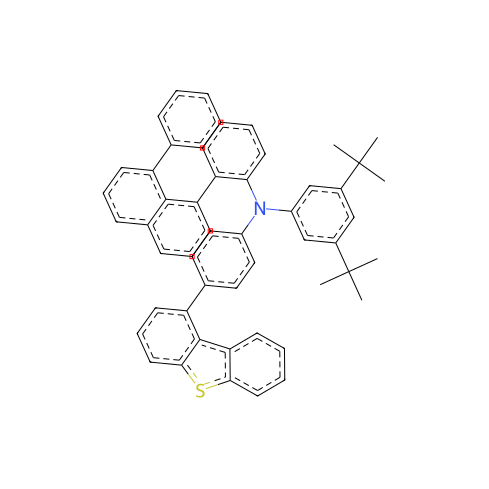 CC(C)(C)c1cc(N(c2ccc(-c3cccc4sc5ccccc5c34)cc2)c2ccccc2-c2cccc3cccc(-c4ccccc4)c23)cc(C(C)(C)C)c1